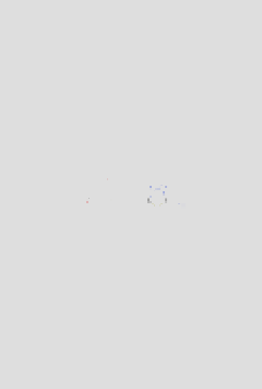 Nc1nnc(CCSC(O)C(=O)O)s1